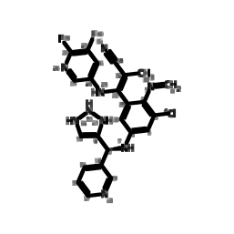 C=Nc1c(Cl)cc(N[C@H](C2=CNNN2)c2cccnc2)cc1/C(Nc1cnc(F)c(F)c1)=C(\C)C#N